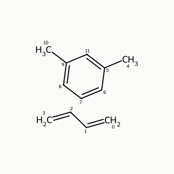 C=CC=C.Cc1cccc(C)c1